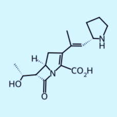 C/C(=C\[C@@H]1CCCN1)C1=C(C(=O)O)N2C(=O)[C@H]([C@@H](C)O)[C@H]2C1